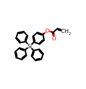 C=CC(=O)Oc1ccc([Si](c2ccccc2)(c2ccccc2)c2ccccc2)cc1